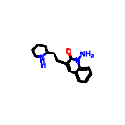 Nn1c(=O)c(CCC2CCCCN2)cc2ccccc21